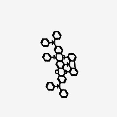 c1ccc(N(c2ccccc2)c2ccc3c(c2)Oc2cc4c5c6c2B3c2cccc3c7cccc(c7n-6c23)B5c2ccc(N(c3ccccc3)c3ccccc3)cc2N4c2ccccc2)cc1